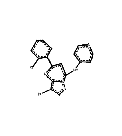 Clc1ccccc1-c1cc(Nc2ccncc2)n2ncc(Br)c2n1